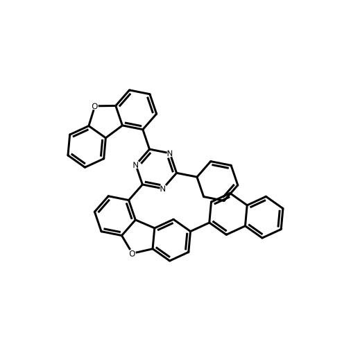 C1=CCC(c2nc(-c3cccc4oc5ccccc5c34)nc(-c3cccc4oc5ccc(-c6ccc7ccccc7c6)cc5c34)n2)C=C1